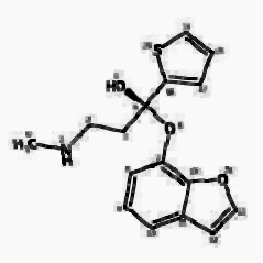 CNCC[C@@](O)(Oc1cccc2ccoc12)c1cccs1